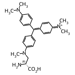 CN(C)c1ccc(C(=C2C=CC(=[N+](C)C)C=C2)c2ccc(N(C)C[C@@H](N)C(=O)O)cc2)cc1